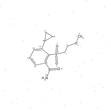 COCCS(=O)(=O)c1c(C(N)=O)cccc1C1CC1